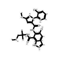 COc1cc(C(=O)Nc2c(Cl)cc3cn[nH]c3c2C(=O)NC(C)(C)CSC)n(-c2ncccc2Cl)n1